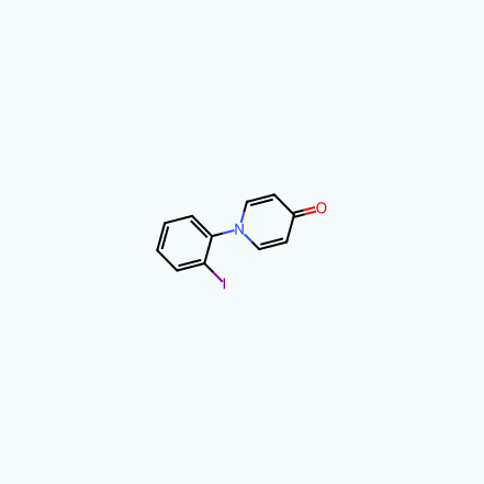 O=c1ccn(-c2ccccc2I)cc1